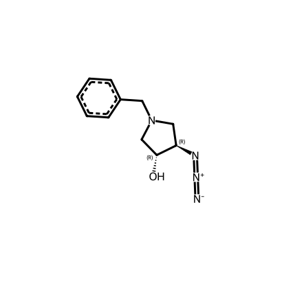 [N-]=[N+]=N[C@@H]1CN(Cc2ccccc2)C[C@H]1O